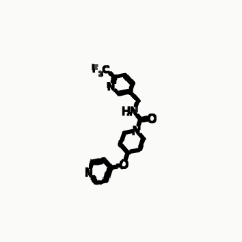 O=C(NCc1ccc(C(F)(F)F)nc1)N1CCC(Oc2ccncc2)CC1